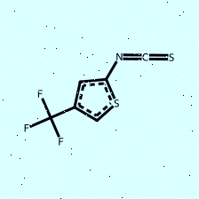 FC(F)(F)c1csc(N=C=S)c1